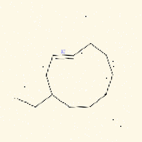 [CH2]CC1C/C=C/CCCCCC1